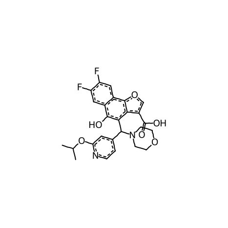 CC(C)Oc1cc(C(c2c(O)c3cc(F)c(F)cc3c3occ(C(=O)O)c23)N2CCOCC2)ccn1